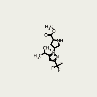 COC(=O)C1CC(n2nc(C(F)(F)F)cc2C(C)C)CN1